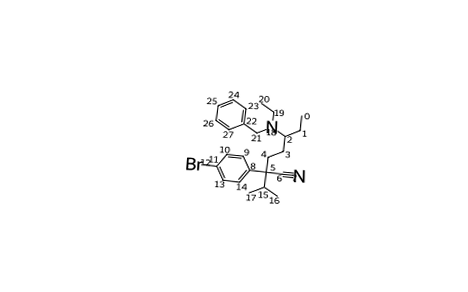 CCC(CCC(C#N)(c1ccc(Br)cc1)C(C)C)N(CC)Cc1ccccc1